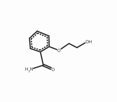 NC(=O)c1cc[c]cc1OCCO